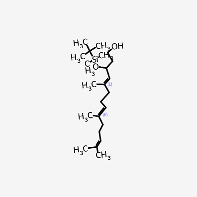 CC(C)=CCC/C(C)=C/CC/C(C)=C/C(CCO)O[Si](C)(C)C(C)(C)C